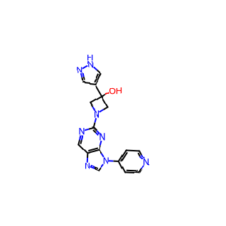 OC1(c2cn[nH]c2)CN(c2ncc3ncn(-c4ccncc4)c3n2)C1